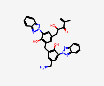 C=C(C)C(=O)C(O)Cc1cc(Cc2cc(CN)cc(-n3nc4ccccc4n3)c2O)c(O)c(-n2nc3ccccc3n2)c1